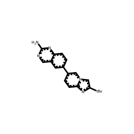 CC(C)(C)c1cn2cc(-c3ccc4nc(N)ncc4c3)ccc2n1